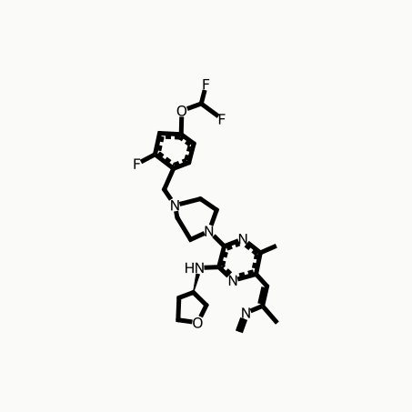 C=N/C(C)=C\c1nc(N[C@@H]2CCOC2)c(N2CCN(Cc3ccc(OC(F)F)cc3F)CC2)nc1C